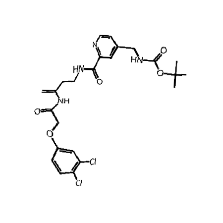 C=C(CCNC(=O)c1cc(CNC(=O)OC(C)(C)C)ccn1)NC(=O)COc1ccc(Cl)c(Cl)c1